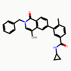 Cc1ccc(C(=O)NC2CC2)cc1-c1ccc2c(=O)n(Cc3ccccc3)cc(C=O)c2c1